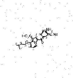 COc1cc(C(=O)c2c(C)c(C(=O)O)c3c(OCCN(C)C)cccn23)ccc1N